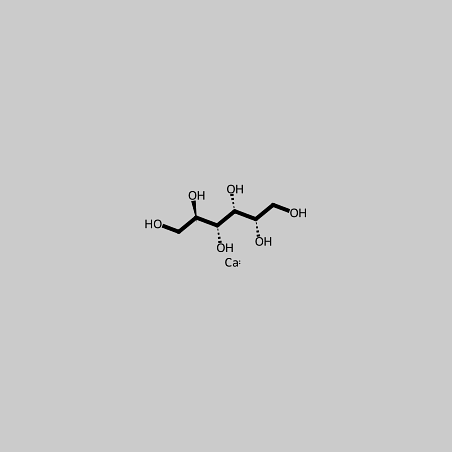 OC[C@@H](O)[C@@H](O)[C@H](O)[C@@H](O)CO.[Ca]